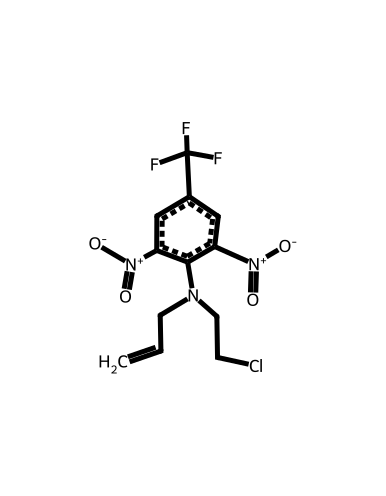 C=CCN(CCCl)c1c([N+](=O)[O-])cc(C(F)(F)F)cc1[N+](=O)[O-]